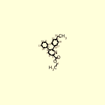 CCOC(=O)c1ccc(-c2ccccc2)c(-c2ccc(CC)cc2)n1